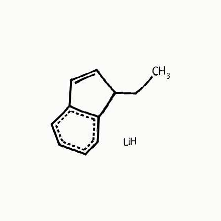 CCC1C=Cc2ccccc21.[LiH]